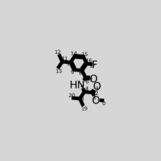 COC(=O)C(NC(=O)c1cc(C(C)C)ccc1F)C(C)C